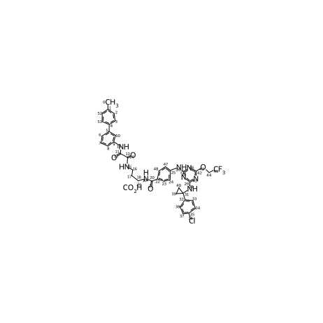 Cc1ccc(-c2cccc(NC(=O)C(=O)NCC[C@H](NC(=O)c3ccc(Nc4nc(NC5(c6ccc(Cl)cc6)CC5)nc(OCC(F)(F)F)n4)cc3)C(=O)O)c2)cc1